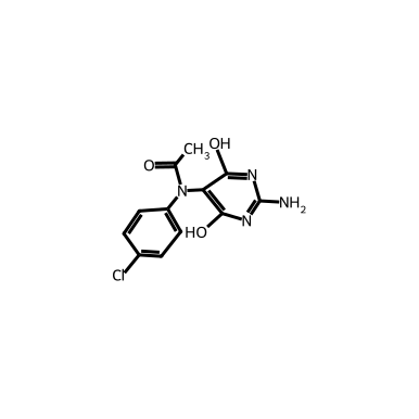 CC(=O)N(c1ccc(Cl)cc1)c1c(O)nc(N)nc1O